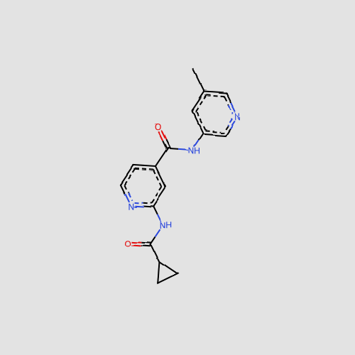 Cc1cncc(NC(=O)c2ccnc(NC(=O)C3CC3)c2)c1